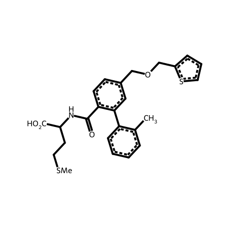 CSCCC(NC(=O)c1ccc(COCc2cccs2)cc1-c1ccccc1C)C(=O)O